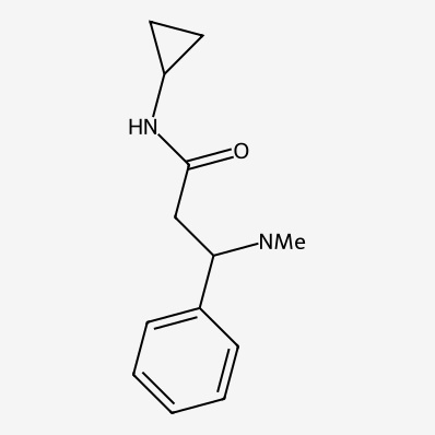 CNC(CC(=O)NC1CC1)c1ccccc1